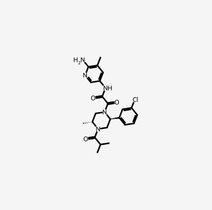 Cc1cc(NC(=O)C(=O)N2C[C@@H](C)N(C(=O)C(C)C)C[C@@H]2c2cccc(Cl)c2)cnc1N